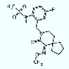 CON=C1C(=O)N(Cc2cc(F)ccc2NS(C)(=O)=O)CCC12CCCC2